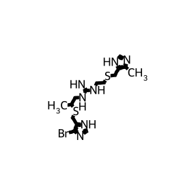 Cc1nc[nH]c1CSCCNC(=N)NCC(C)SCc1[nH]cnc1Br